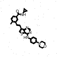 Cc1ccc(C(=O)NC2CC2)cc1/C=C/c1csc2c(Nc3ccc(N4CCOCC4)cc3)ncnc12